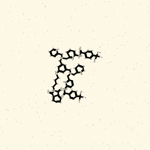 O=C(Nc1cccc(CN(Cc2cc(CN(Cc3ccccn3)Cc3cccc(NC(=O)c4ccc(C(F)(F)F)cc4)n3)cc(OCCCCN3C(=O)c4ccccc4C3=O)c2)Cc2ccccn2)n1)c1ccc(C(F)(F)F)cc1